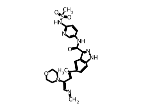 C=N/C=C(\C=C(/C)c1ccc2[nH]nc(C(=O)Nc3ccc(NS(C)(=O)=O)nc3)c2c1)N1CCOCC1